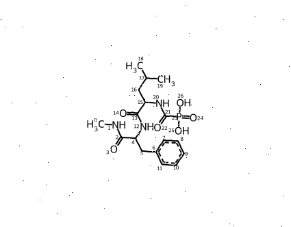 CNC(=O)C(Cc1ccccc1)NC(=O)C(CC(C)C)NC(=O)P(=O)(O)O